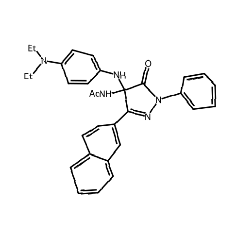 CCN(CC)c1ccc(NC2(NC(C)=O)C(=O)N(c3ccccc3)N=C2c2ccc3ccccc3c2)cc1